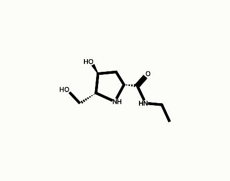 CCNC(=O)[C@H]1C[C@H](O)[C@@H](CO)N1